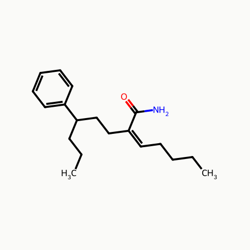 CCCC/C=C(/CCC(CCC)c1ccccc1)C(N)=O